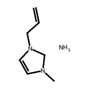 C=CCN1C=CN(C)C1.N